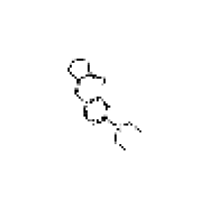 CCN(CC)c1ccc(C=C2CCCC2=O)cc1